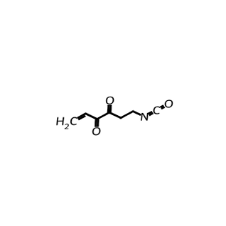 C=CC(=O)C(=O)CCN=C=O